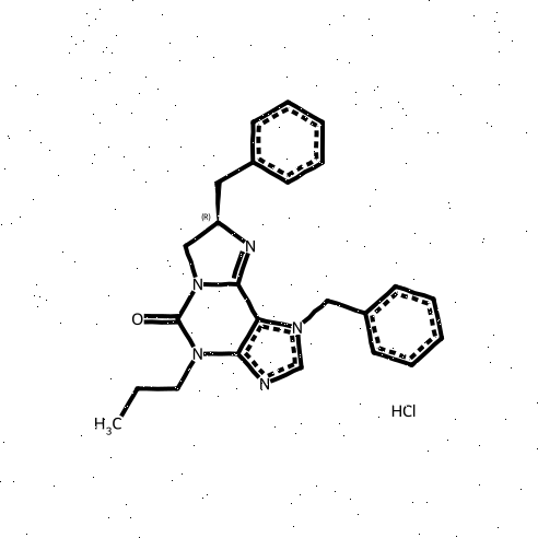 CCCN1C(=O)N2C[C@@H](Cc3ccccc3)N=C2c2c1ncn2Cc1ccccc1.Cl